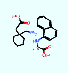 C[C@H](Nc1cccc2ccccc12)C(=O)O.NCC1(CC(=O)O)CCCCC1